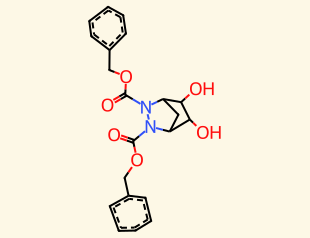 O=C(OCc1ccccc1)N1C2CC(C(O)C2O)N1C(=O)OCc1ccccc1